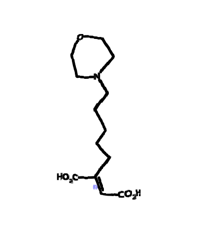 O=C(O)/C=C(\CCCCCN1CCOCC1)C(=O)O